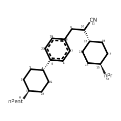 CCCCC[C@H]1CC[C@H](c2ccc(CC(C#N)[C@H]3CC[C@H](CCC)CC3)cc2)CC1